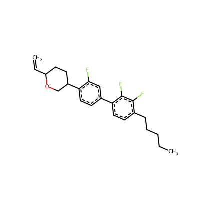 C=CC1CCC(c2ccc(-c3ccc(CCCCC)c(F)c3F)cc2F)CO1